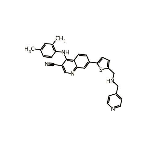 Cc1ccc(Nc2c(C#N)cnc3cc(-c4ccc(CNCc5ccncc5)s4)ccc23)c(C)c1